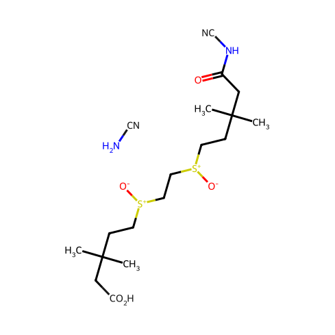 CC(C)(CC[S+]([O-])CC[S+]([O-])CCC(C)(C)CC(=O)NC#N)CC(=O)O.N#CN